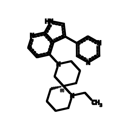 CCN1CCCC[C@]12CCCN(c1ccnc3[nH]cc(-c4cncnc4)c13)C2